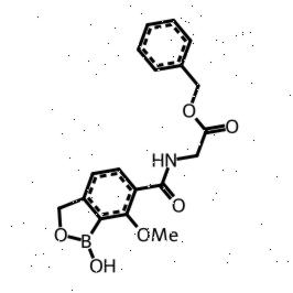 COc1c(C(=O)NCC(=O)OCc2ccccc2)ccc2c1B(O)OC2